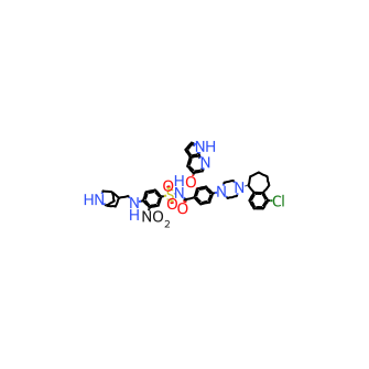 O=C(NS(=O)(=O)c1ccc(NCC2CC3CC2CN3)c([N+](=O)[O-])c1)c1ccc(N2CCN([C@@H]3CCCCc4c(Cl)cccc43)CC2)cc1Oc1cnc2[nH]ccc2c1